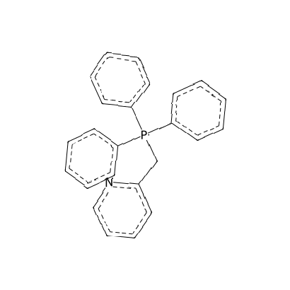 c1ccc([P](Cc2ccccn2)(c2ccccc2)c2ccccc2)cc1